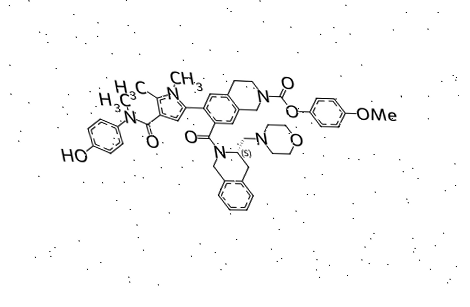 COc1ccc(OC(=O)N2CCc3cc(-c4cc(C(=O)N(C)c5ccc(O)cc5)c(C)n4C)c(C(=O)N4Cc5ccccc5C[C@H]4CN4CCOCC4)cc3C2)cc1